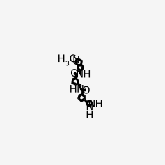 CN1CCc2ccc(NC(=O)c3cccc(CNC(=O)c4cccc(C5=CNNC5)c4)c3)cc2C1